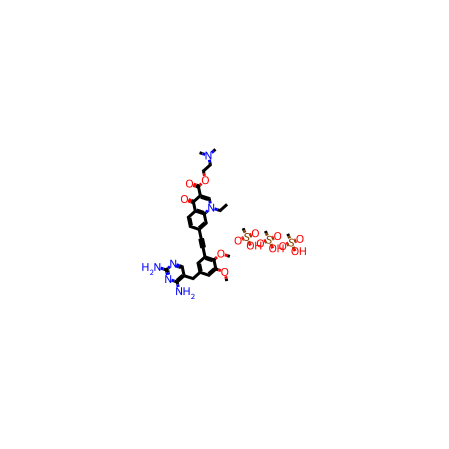 CCn1cc(C(=O)OCCN(C)C)c(=O)c2ccc(C#Cc3cc(Cc4cnc(N)nc4N)cc(OC)c3OC)cc21.CS(=O)(=O)O.CS(=O)(=O)O.CS(=O)(=O)O